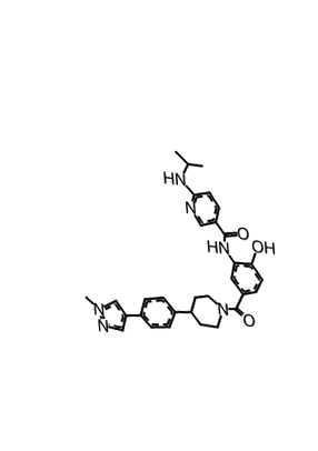 CC(C)Nc1ccc(C(=O)Nc2cc(C(=O)N3CCC(c4ccc(-c5cnn(C)c5)cc4)CC3)ccc2O)cn1